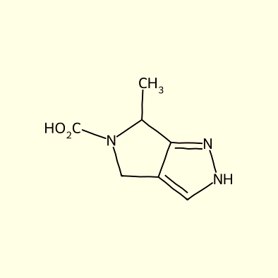 CC1c2n[nH]cc2CN1C(=O)O